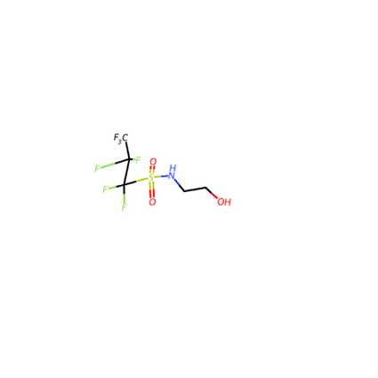 O=S(=O)(NCCO)C(F)(F)C(F)(F)C(F)(F)F